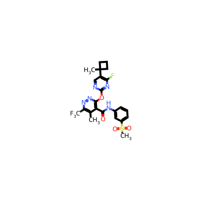 Cc1c(C(F)(F)F)nnc(Oc2ncc(C3(C)CCC3)c(F)n2)c1C(=O)Nc1cccc(S(C)(=O)=O)c1